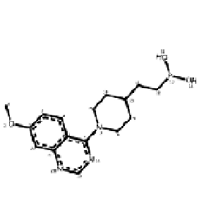 COc1ccc2c(N3CCC(CCP(O)O)CC3)ncnc2c1